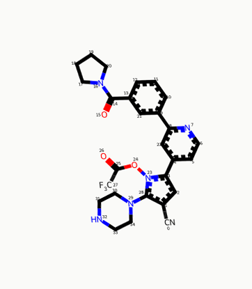 N#Cc1cc(-c2ccnc(-c3cccc(C(=O)N4CCCC4)c3)c2)n(OC(=O)C(F)(F)F)c1N1CCNCC1